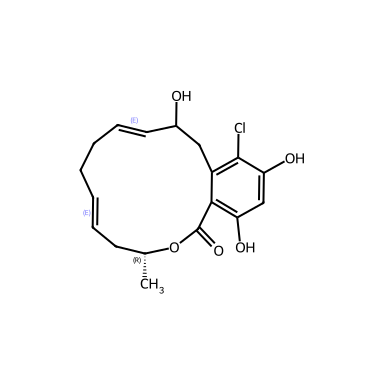 C[C@@H]1C/C=C/CC/C=C/C(O)Cc2c(Cl)c(O)cc(O)c2C(=O)O1